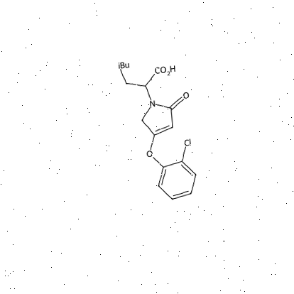 CCC(C)CC(C(=O)O)N1CC(Oc2ccccc2Cl)=CC1=O